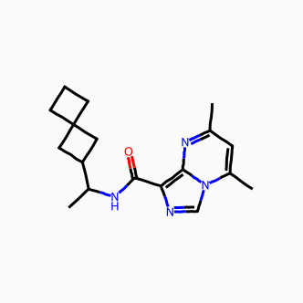 Cc1cc(C)n2cnc(C(=O)NC(C)C3CC4(CCC4)C3)c2n1